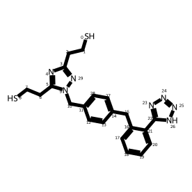 SCCc1nc(CCS)n(Cc2ccc(Cc3ccccc3-c3nnn[nH]3)cc2)n1